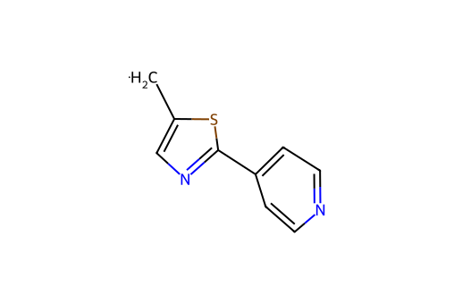 [CH2]c1cnc(-c2ccncc2)s1